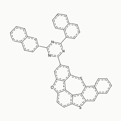 c1ccc2cc(-c3nc(-c4cc5oc6ccc7sc8cc9ccccc9c9sc(c4)c5c6c7c89)nc(-c4cccc5ccccc45)n3)ccc2c1